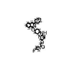 O=C(COc1cnc(N[C@H]2CC[C@@H](Oc3nc(N4CCOCC4)cc4ccccc34)CC2)nc1)N1CC(F)C1